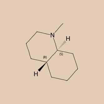 CN1CCC[C@H]2CCCC[C@@H]21